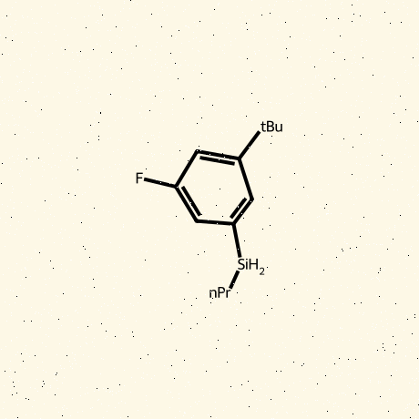 CCC[SiH2]c1cc(F)cc(C(C)(C)C)c1